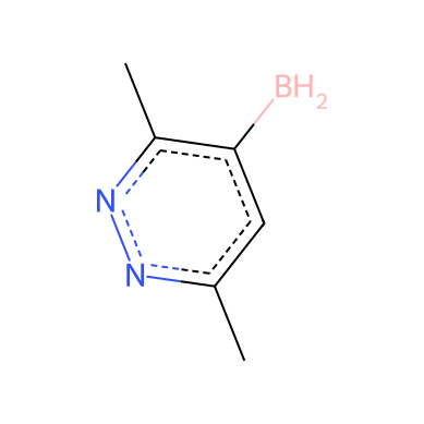 Bc1cc(C)nnc1C